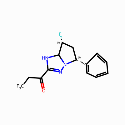 O=C(CC(F)(F)F)C1=NN2C(N1)[C@H](F)C[C@@H]2c1ccccc1